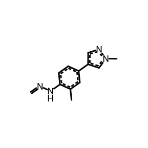 C=NNc1ccc(-c2cnn(C)c2)cc1C